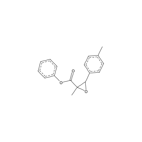 Cc1ccc(C2OC2(C)C(=O)Oc2ccccc2)cc1